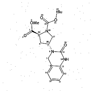 COC(=O)[C@@H]1C[C@@H](N2Cc3ccccc3NC2=O)CN1C(=O)OC(C)(C)C